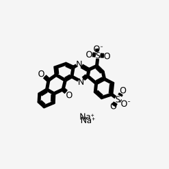 O=C1c2ccccc2C(=O)c2c1ccc1nc3c(S(=O)(=O)[O-])cc4cc(S(=O)(=O)[O-])ccc4c3nc21.[Na+].[Na+]